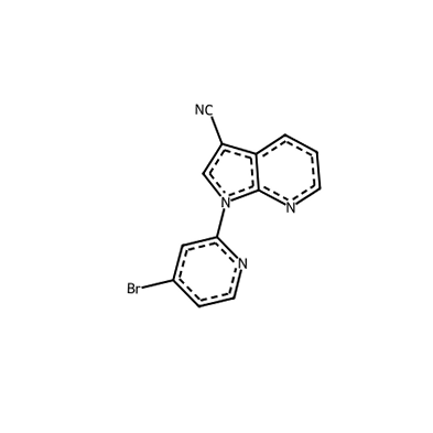 N#Cc1cn(-c2cc(Br)ccn2)c2ncccc12